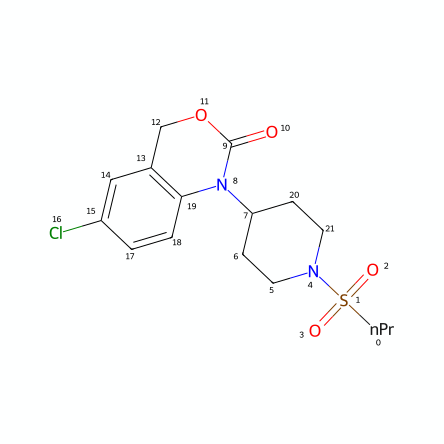 CCCS(=O)(=O)N1CCC(N2C(=O)OCc3cc(Cl)ccc32)CC1